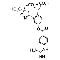 N=C(N)Nc1ccc(C(=O)Oc2ccc(CCC(=O)O)c(C3=NOC(CC(=O)O)(C(=O)O)C3)c2)cc1